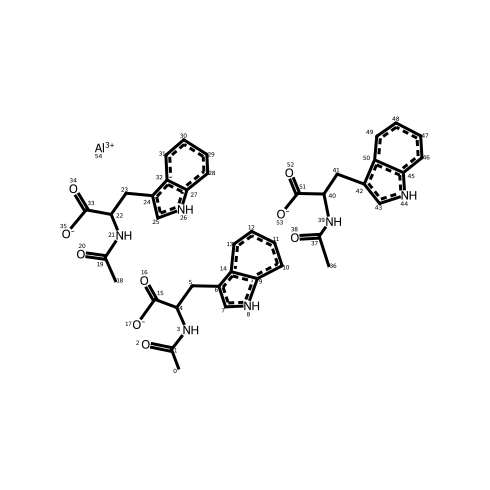 CC(=O)NC(Cc1c[nH]c2ccccc12)C(=O)[O-].CC(=O)NC(Cc1c[nH]c2ccccc12)C(=O)[O-].CC(=O)NC(Cc1c[nH]c2ccccc12)C(=O)[O-].[Al+3]